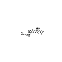 COc1cc2c(Oc3ccc(NC(=O)NC4CC(C)CC(C)(C)C4)cc3F)ccnc2cc1OCCN1CCCCC1